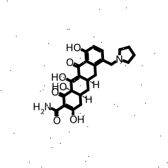 NC(=O)C1=C(O)C[C@@H]2C[C@@H]3Cc4c(CN5CCCC5)ccc(O)c4C(=O)C3=C(O)[C@]2(O)C1=O